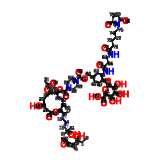 CC[C@H](O)[C@@H](C)[C@H]1O[C@@H]1CC(C)(O)/C=C/C=C(\C)[C@H]1OC(=O)C[C@H](O)CC[C@@](C)(OC(C)=O)[C@@H](OC(=O)N2CCN(C(=O)OCc3ccc(O[C@@H]4O[C@H](C(=O)O)[C@@H](O)[C@H](O)[C@H]4O)c(NC(=O)CCNC(=O)CCCCCN4C(=O)CCC4=O)c3)CC2)/C=C/[C@@H]1C